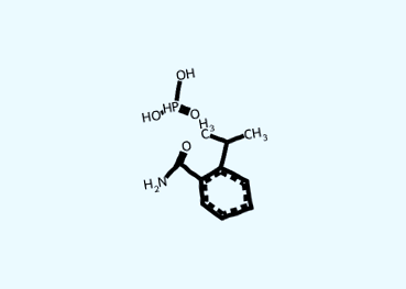 CC(C)c1ccccc1C(N)=O.O=[PH](O)O